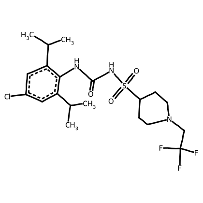 CC(C)c1cc(Cl)cc(C(C)C)c1NC(=O)NS(=O)(=O)C1CCN(CC(F)(F)F)CC1